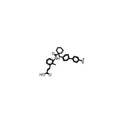 Cc1c(/C=C/C(=O)O)cccc1NC(=O)C1(Cc2ccc(-c3ccc(N(C)C)cc3)cc2)CCCCC1